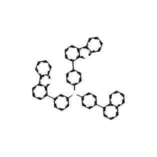 c1cc(-c2cccc3c2sc2ccccc23)cc(N(c2ccc(-c3cccc4ccccc34)cc2)c2ccc(-c3cccc4c3sc3ccccc34)cc2)c1